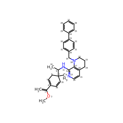 C=C(OC)C1=CCC(C)(C(C)Nc2nccc3c2N(Cc2ccc(-c4ccccc4)cc2)CCC3)C=C1